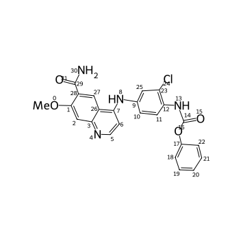 COc1cc2nccc(Nc3ccc(NC(=O)Oc4ccccc4)c(Cl)c3)c2cc1C(N)=O